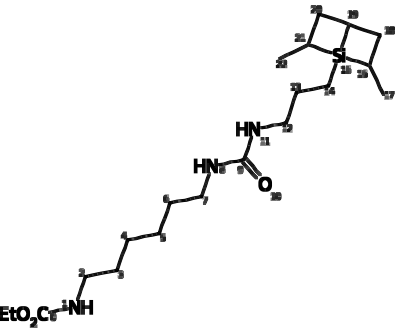 CCOC(=O)NCCCCCCNC(=O)NCCC[Si]12C(C)CC1CC2C